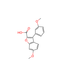 COc1cccc(-c2c(C(=O)O)oc3cc(OC)ccc23)c1